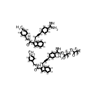 C[n+]1ccc(CNC(=O)c2cc3ccccc3n2CC#Cc2ccc(C(=N)N)cc2)cc1.C[n+]1ccc(CNC(=O)c2cc3ccccc3n2CC#Cc2ccc(C(=N)N)cc2)cc1.O=C([O-])C(F)(F)F.O=C([O-])C(F)(F)F